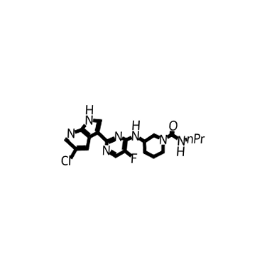 CCCNC(=O)N1CCCC(Nc2nc(-c3c[nH]c4ncc(Cl)cc34)ncc2F)C1